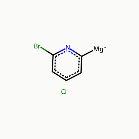 [Cl-].[Mg+][c]1cccc(Br)n1